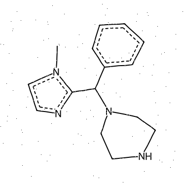 Cn1ccnc1C(c1ccccc1)N1CCNCC1